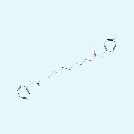 O=C(Nc1ccc(O)cc1)OCCOCCOCCOC(=O)Nc1ccc(O)cc1